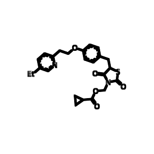 CCc1ccc(CCOc2ccc(CC3SC(=O)N(COC(=O)C4CC4)C3=O)cc2)nc1